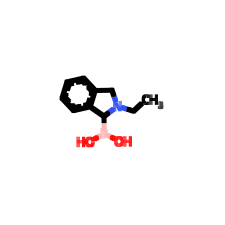 CCN1Cc2ccccc2C1B(O)O